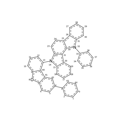 c1ccc(-c2ccc3oc4cccc(-n5c6ccccc6c6c5ccc5c7ccccc7n(-c7ccccc7)c56)c4c3c2)cc1